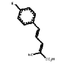 CCc1ccc(/C=C/C=C(\C#N)C(=O)O)cc1